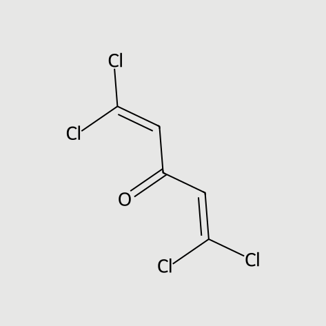 O=C(C=C(Cl)Cl)C=C(Cl)Cl